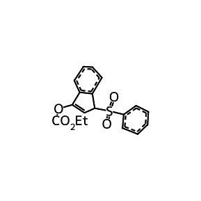 CCOC(=O)OC1=CC(S(=O)(=O)c2ccccc2)c2ccccc21